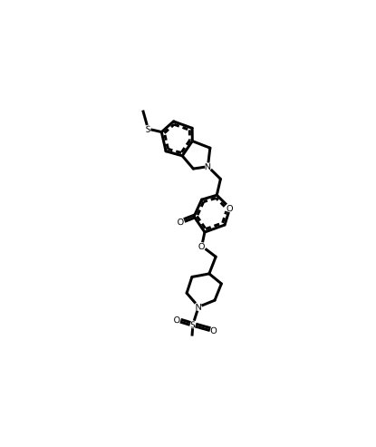 CSc1ccc2c(c1)CN(Cc1cc(=O)c(OCC3CCN(S(C)(=O)=O)CC3)co1)C2